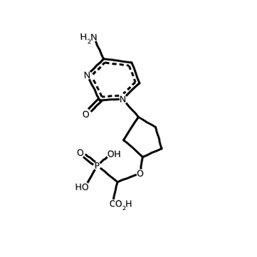 Nc1ccn(C2CCC(OC(C(=O)O)P(=O)(O)O)C2)c(=O)n1